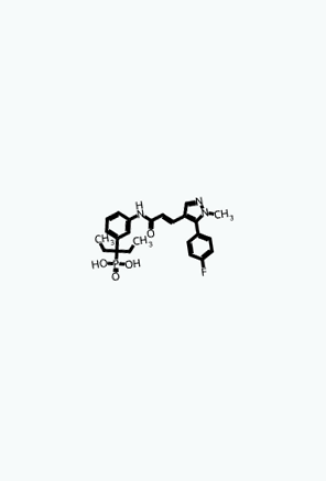 CCC(CC)(c1cccc(NC(=O)C=Cc2cnn(C)c2-c2ccc(F)cc2)c1)P(=O)(O)O